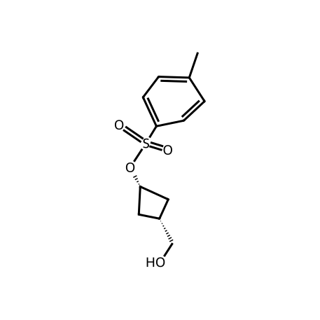 Cc1ccc(S(=O)(=O)O[C@H]2C[C@@H](CO)C2)cc1